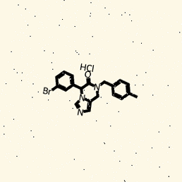 Cc1ccc(CN2Cc3cncn3C(c3cccc(Br)c3)C2=O)cc1.Cl